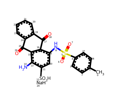 Cc1ccc(S(=O)(=O)Nc2cc(S(=O)(=O)O)c(N)c3c2C(=O)c2ccccc2C3=O)cc1.[NaH]